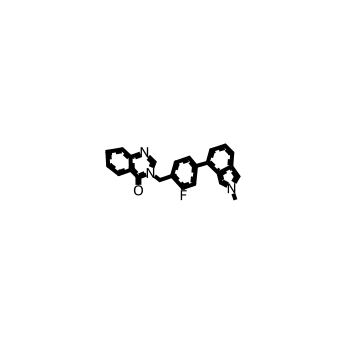 Cn1cc2cccc(-c3ccc(Cn4cnc5ccccc5c4=O)c(F)c3)c2c1